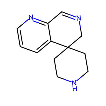 C1=NCC2(CCNCC2)c2cccnc21